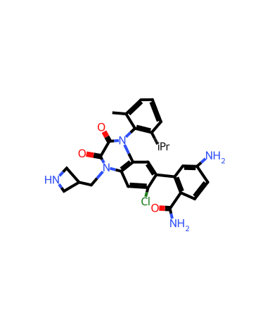 Cc1cccc(C(C)C)c1-n1c(=O)c(=O)n(CC2CNC2)c2cc(Cl)c(-c3cc(N)ccc3C(N)=O)cc21